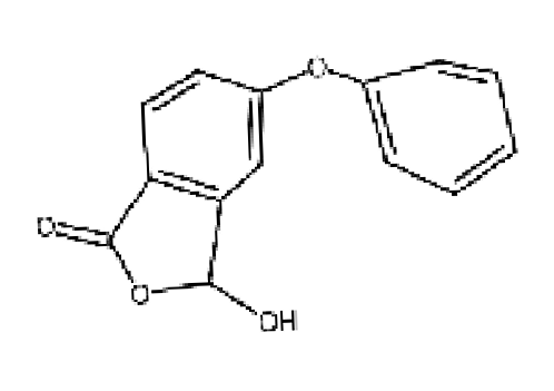 O=C1OC(O)c2cc(Oc3ccccc3)ccc21